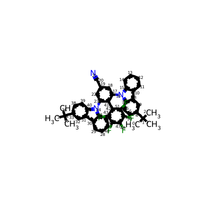 CC(C)(C)c1ccc2c(c1)c1ccccc1n2-c1cc(C#N)cc(-n2c3ccccc3c3cc(C(C)(C)C)ccc32)c1-c1c(F)c(F)c(F)c(F)c1F